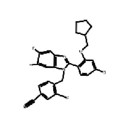 N#Cc1ccc(Cn2c(-c3ccc(Cl)cc3OCC3CCCC3)nc3cc(F)c(F)cc32)c(F)c1